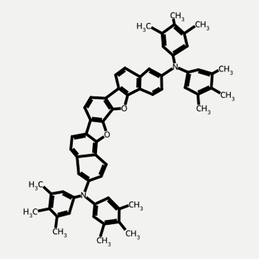 Cc1cc(N(c2cc(C)c(C)c(C)c2)c2ccc3c(ccc4c5ccc6c7ccc8cc(N(c9cc(C)c(C)c(C)c9)c9cc(C)c(C)c(C)c9)ccc8c7oc6c5oc34)c2)cc(C)c1C